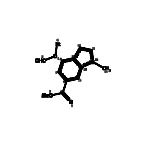 CCOC=O.COC(=O)c1ccc2ccn(C)c2c1